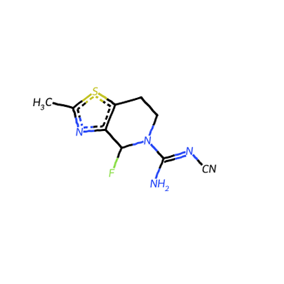 Cc1nc2c(s1)CCN(/C(N)=N/C#N)C2F